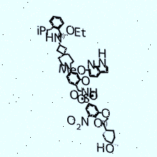 CCOC[C@H](NC1CC2(CCN(c3ccc(C(=O)NS(=O)(=O)c4cc5c(c([N+](=O)[O-])c4)O[C@H]([C@H]4CC[C@](C)(O)CC4)CO5)c(Oc4cc5cc[nH]c5nc4OC)c3)CC2)C1)c1ccccc1C(C)C